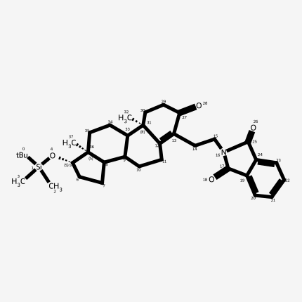 CC(C)(C)[Si](C)(C)O[C@H]1CCC2C3CCC4=C(CCN5C(=O)c6ccccc6C5=O)C(=O)CC[C@]4(C)C3CC[C@@]21C